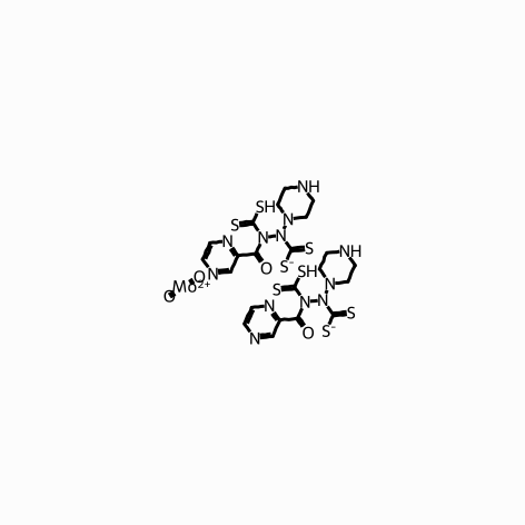 O=C(c1cnccn1)N(C(=S)S)N(C(=S)[S-])N1CCNCC1.O=C(c1cnccn1)N(C(=S)S)N(C(=S)[S-])N1CCNCC1.[O]=[Mo+2]=[O]